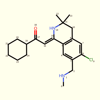 CNCc1cc2c(cc1Cl)CC(C)(C)N/C2=C\C(=O)C1CCCCC1